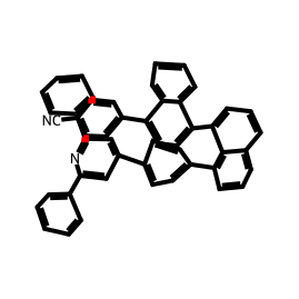 N#Cc1ccc(-c2ccc(-c3cccc4cccc(-c5ccc(-c6cc(-c7ccccc7)nc(-c7ccccc7)c6)cc5)c34)c3ccccc23)cc1